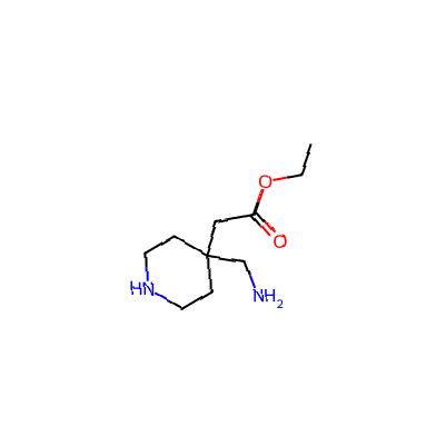 CCOC(=O)CC1(CN)CCNCC1